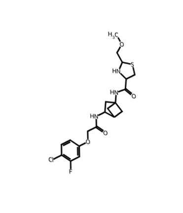 COCC1NC(C(=O)NC23CC(C2)C(NC(=O)COc2ccc(Cl)c(F)c2)C3)CS1